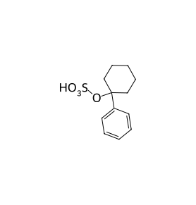 O=S(=O)(O)OC1(c2ccccc2)CCCCC1